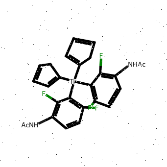 CC(=O)Nc1ccc(F)[c]([Ti]([C]2=CC=CC2)([C]2=CC=CC2)[c]2c(F)ccc(NC(C)=O)c2F)c1F